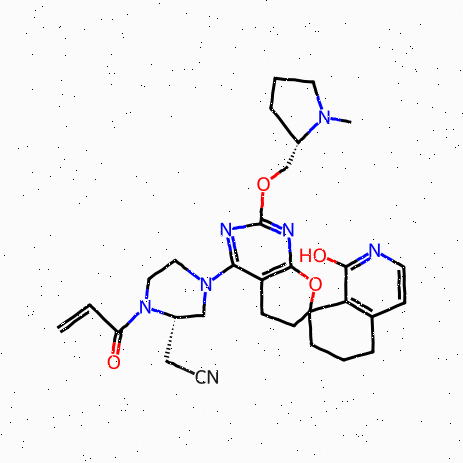 C=CC(=O)N1CCN(c2nc(OC[C@@H]3CCCN3C)nc3c2CCC2(CCCc4ccnc(O)c42)O3)C[C@@H]1CC#N